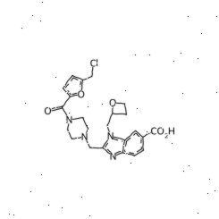 O=C(O)c1ccc2nc(CN3CCN(C(=O)c4ccc(CCl)o4)CC3)n(CC3CCO3)c2c1